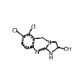 OC1CN2Cc3c(ccc(Cl)c3Cl)N=C2N1